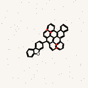 c1ccc(-c2cc3ccccc3c(-c3ccccc3)c2-c2c3ccccc3c(-c3ccc4c(c3)oc3ccccc34)c3ccccc23)cc1